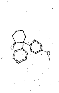 COc1ccc(C2(c3ccccc3)CCCCC2=O)cc1